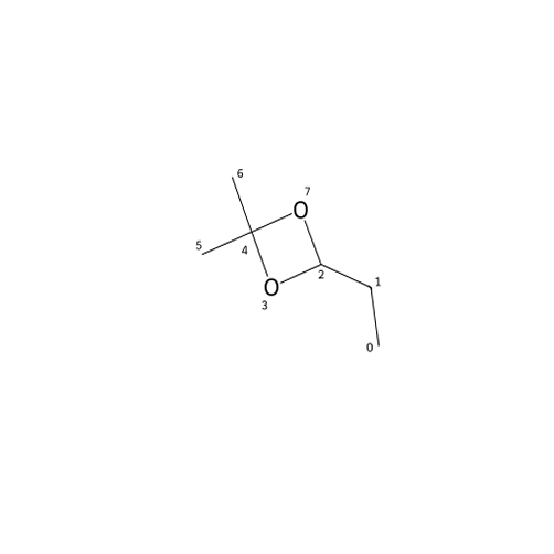 CCC1OC(C)(C)O1